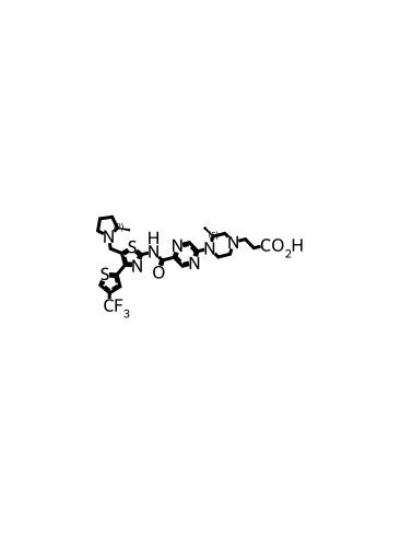 C[C@@H]1CCCN1Cc1sc(NC(=O)c2cnc(N3CCN(CCC(=O)O)C[C@@H]3C)cn2)nc1-c1cc(C(F)(F)F)cs1